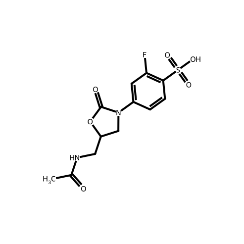 CC(=O)NCC1CN(c2ccc(S(=O)(=O)O)c(F)c2)C(=O)O1